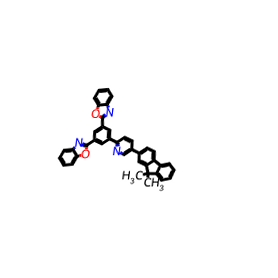 CC1(C)c2ccccc2-c2ccc(-c3ccc(-c4cc(-c5nc6ccccc6o5)cc(-c5nc6ccccc6o5)c4)nc3)cc21